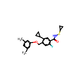 Cc1cc(OCc2cc(F)c(C(=O)NSC3CC3)cc2C2CC2)cc(C(F)(F)F)c1